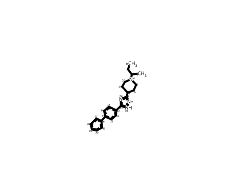 CCC(C)N1CCC(c2n[nH]c(-c3ccc(-c4ccccc4)cc3)n2)CC1